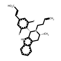 C=CCCN1[C@@H](c2c(F)cc(/C=C/C(=O)O)cc2F)c2[nH]c3ccccc3c2C[C@H]1C